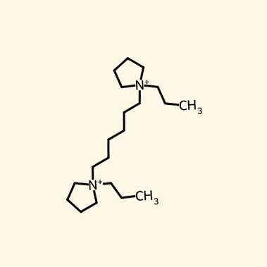 CCC[N+]1(CCCCCC[N+]2(CCC)CCCC2)CCCC1